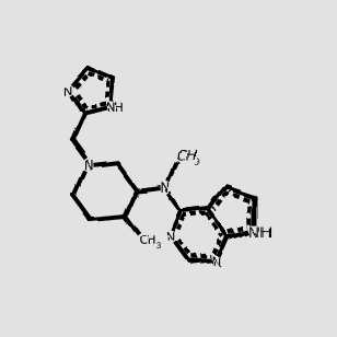 CC1CCN(Cc2ncc[nH]2)CC1N(C)c1ncnc2[nH]ccc12